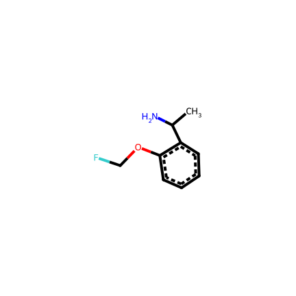 CC(N)c1ccccc1OCF